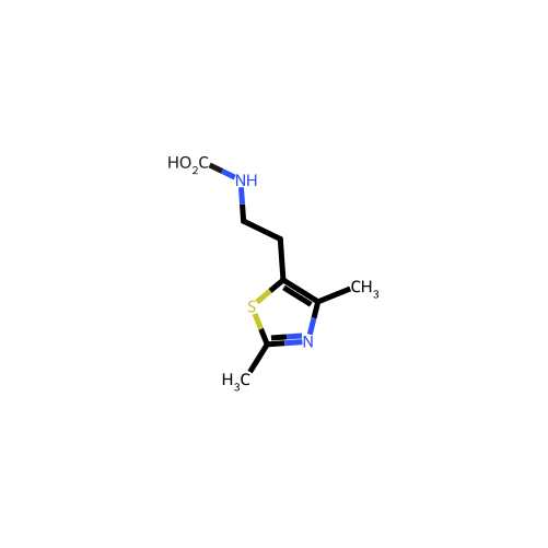 Cc1nc(C)c(CCNC(=O)O)s1